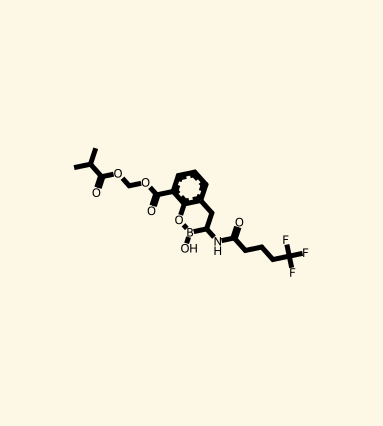 CC(C)C(=O)OCOC(=O)c1cccc2c1OB(O)C(NC(=O)CCCC(F)(F)F)C2